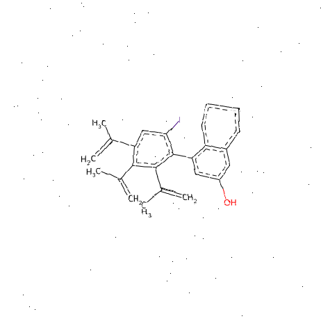 C=C(C)c1cc(I)c(-c2cc(O)cc3ccccc23)c(C(=C)C)c1C(=C)C